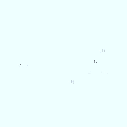 COc1ccc2c(c1)C1(C)CCCC(C2)[C@H]1N(C)C